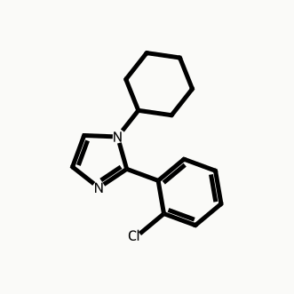 Clc1ccccc1-c1nccn1C1CCCCC1